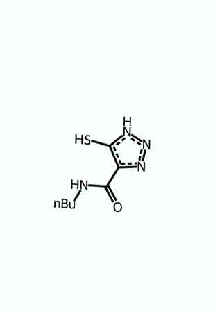 CCCCNC(=O)c1nn[nH]c1S